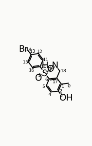 Cc1c(O)ccc(S(=O)(=O)c2ccc(Br)cc2)c1CN